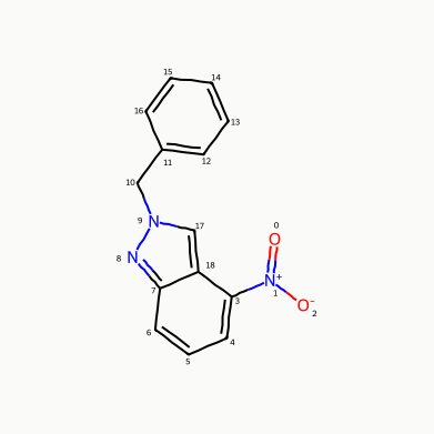 O=[N+]([O-])c1cccc2nn(Cc3ccccc3)cc12